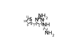 NCCNc1cc(Cc2cccs2)nc(N)n1